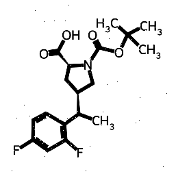 CC(c1ccc(F)cc1F)[C@H]1C[C@@H](C(=O)O)N(C(=O)OC(C)(C)C)C1